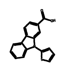 O=C(O)c1ccc2c3ccccc3n(-c3cccs3)c2c1